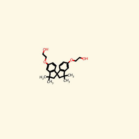 CC1(C)CC2(CC(C)(C)c3cc(OCCO)ccc32)c2ccc(OCCO)cc21